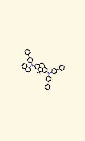 CC1(C)c2cc(N(c3ccc(-c4ccccc4)cc3)c3ccc(-c4ccccc4)cc3)cc3ccc4cc(N(c5ccc(-c6ccccc6)cc5)c5cccc6ccccc56)cc1c4c23